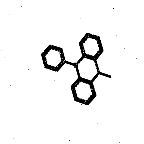 CC1c2ccccc2N(c2ccccc2)c2ccccc21